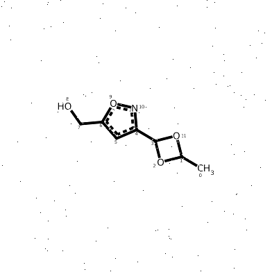 CC1OC(c2cc(CO)on2)O1